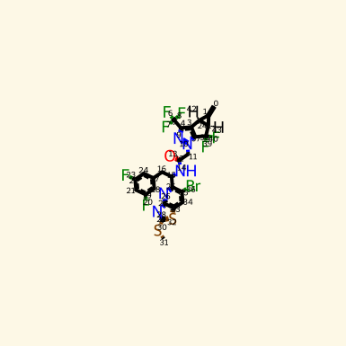 C=C1[C@@H]2c3c(C(F)(F)F)nn(CC(=O)NC(Cc4cc(F)cc(F)c4)c4nc5nc(SC)sc5cc4Br)c3C(F)(F)[C@H]12